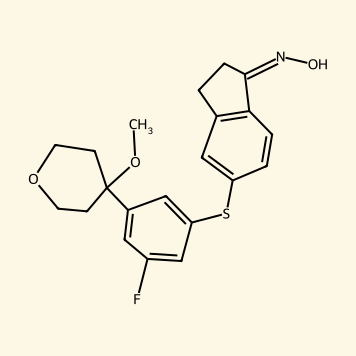 COC1(c2cc(F)cc(Sc3ccc4c(c3)CC/C4=N/O)c2)CCOCC1